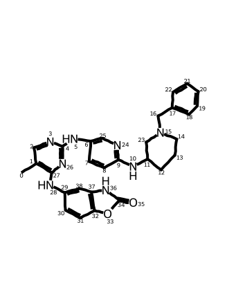 Cc1cnc(Nc2ccc(NC3CCCN(Cc4ccccc4)C3)nc2)nc1Nc1ccc2oc(=O)[nH]c2c1